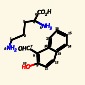 NCCCC(N)C(=O)O.O=Cc1c(O)ccc2ccccc12